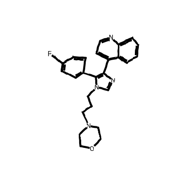 Fc1ccc(-c2c(-c3ccnc4ccccc34)ncn2CCCN2CCOCC2)cc1